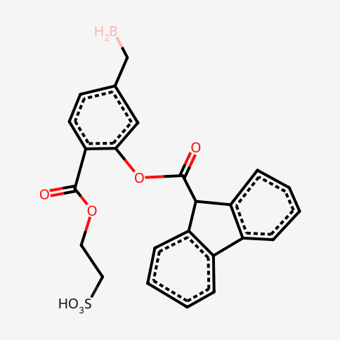 BCc1ccc(C(=O)OCCS(=O)(=O)O)c(OC(=O)C2c3ccccc3-c3ccccc32)c1